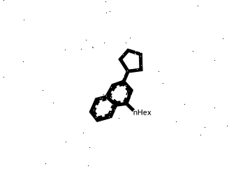 [CH2]CCCCCc1cc(C2CCCC2)cc2ccccc12